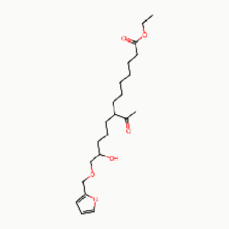 CCOC(=O)CCCCCCC(CCCC(O)COCc1ccco1)C(C)=O